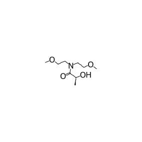 COCCN(CCOC)C(=O)[C@H](C)O